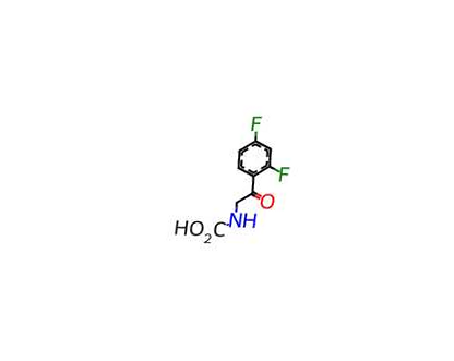 O=C(O)NCC(=O)c1ccc(F)cc1F